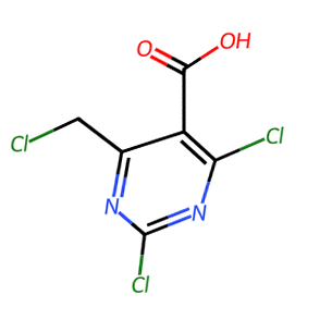 O=C(O)c1c(Cl)nc(Cl)nc1CCl